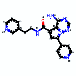 Nc1ncnn2c(-c3ccncc3)cc(C(=O)NCCc3cccnc3)c12